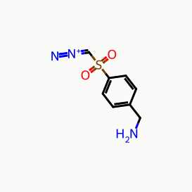 [N-]=[N+]=CS(=O)(=O)c1ccc(CN)cc1